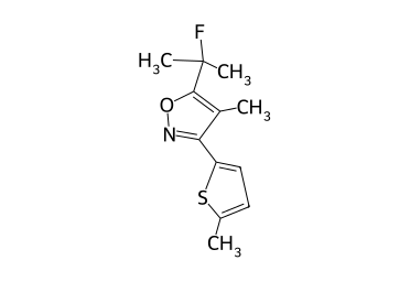 Cc1ccc(-c2noc(C(C)(C)F)c2C)s1